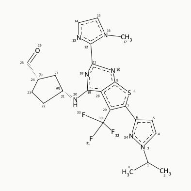 CC(C)n1ccc(-c2sc3nc(-c4nccn4C)nc(N[C@@H]4CC[C@H](C=O)C4)c3c2C(F)(F)F)n1